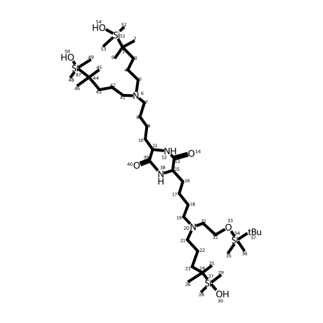 CC(C)(CCCN(CCCCC1NC(=O)C(CCCCN(CCCC(C)(C)[Si](C)(C)O)CCO[Si](C)(C)C(C)(C)C)NC1=O)CCCC(C)(C)[Si](C)(C)O)[Si](C)(C)O